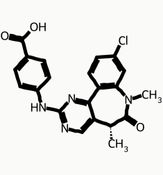 C[C@H]1C(=O)N(C)c2cc(Cl)ccc2-c2nc(Nc3ccc(C(=O)O)cc3)ncc21